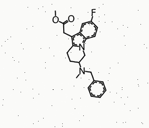 COC(=O)Cc1c2n(c3ccc(F)cc13)CC(N(C)Cc1ccccc1)CC2